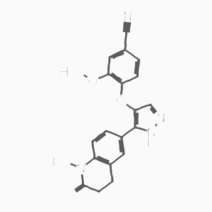 COc1cc(C#N)ccc1Oc1cn[nH]c1-c1ccc2c(c1)CCC(=O)N2C